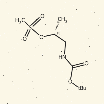 C[C@H](CNC(=O)OC(C)(C)C)OS(C)(=O)=O